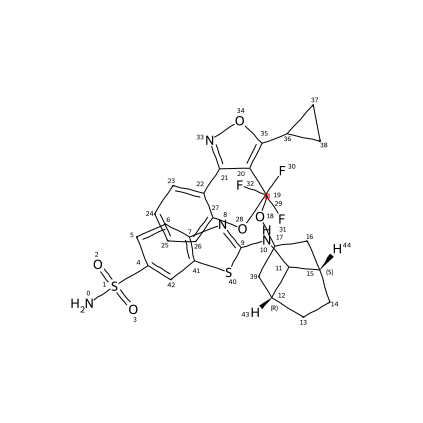 NS(=O)(=O)c1ccc2nc(NC3[C@@H]4CC[C@H]3CC(OCc3c(-c5ccccc5OC(F)(F)F)noc3C3CC3)C4)sc2c1